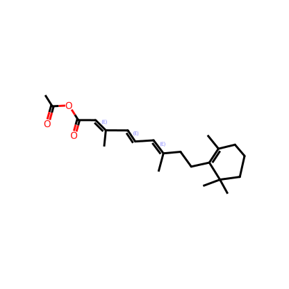 CC(=O)OC(=O)/C=C(C)/C=C/C=C(\C)CCC1=C(C)CCCC1(C)C